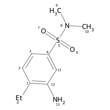 CCc1ccc(S(=O)(=O)N(C)C)cc1N